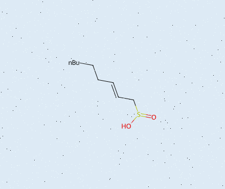 CCCCCCC=CCS(=O)O